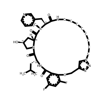 CC(C)C[C@H]1NC(=O)c2cc(F)cc(F)c2OCc2cn(nn2)CCCCCCCCNC(=O)[C@H](Cc2cccnc2)N(C)C(=O)[C@H]2C[C@H](O)CN2C1=O